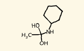 CC(O)(O)NC1CCCCC1